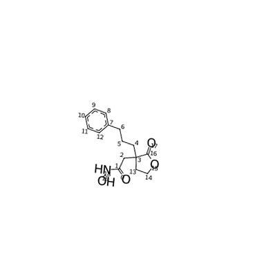 O=C(CC1(CCCc2ccccc2)CCOC1=O)NO